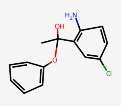 CC(O)(Oc1ccccc1)c1cc(Cl)ccc1N